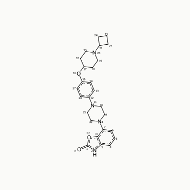 O=c1[nH]c2cccc(N3CCN(c4ccc(OC5CCN(C6CCC6)CC5)cc4)CC3)c2o1